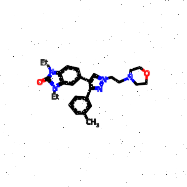 CCn1c(=O)n(CC)c2cc(-c3cn(CCN4CCOCC4)nc3-c3cccc(C)c3)ccc21